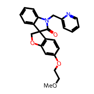 COCCOc1ccc2c(c1)OCC21C(=O)N(Cc2ccccn2)c2ccccc21